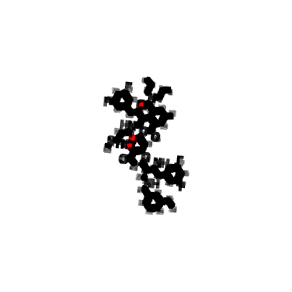 CCCN(CCC)C(=O)c1cc(C)cc(C(=O)Oc2ccc3c(c2)O[C@H]([C@H](CNCc2cccc(CC)c2)C(N)Cc2cc(F)cc(F)c2)CC3=O)c1C(CN[C@H](CO)CCSC)C(N)Cc1cc(F)cc(F)c1